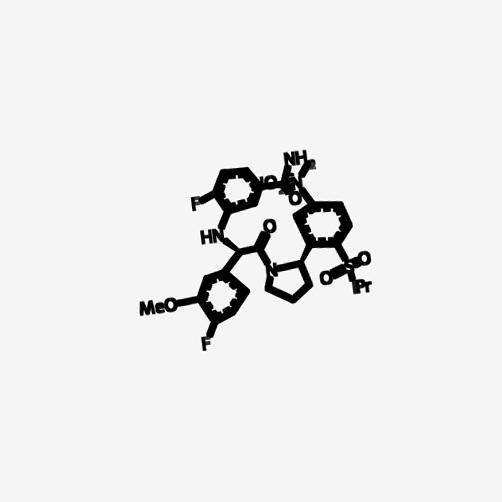 COc1cc([C@@H](Nc2cc(C(N)=O)ccc2F)C(=O)N2CCC[C@@H]2c2cc(N(C)C(=O)O)ccc2S(=O)(=O)C(C)C)ccc1F